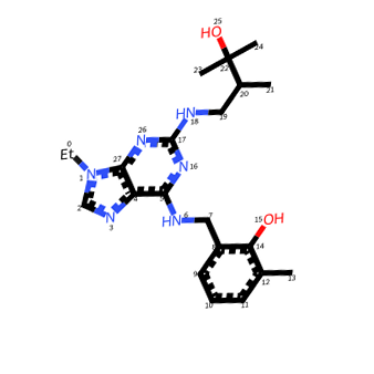 CCn1cnc2c(NCc3cccc(C)c3O)nc(NCC(C)C(C)(C)O)nc21